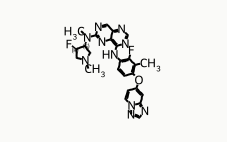 Cc1c(Oc2ccn3ncnc3c2)ccc(Nc2ncnc3cnc(N(C)[C@H]4CN(C)C[C@H]4F)nc23)c1F